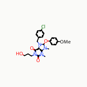 COc1ccc(OC2N(C)c3c(c(=O)n(CCCO)c(=O)n3C)N2Cc2ccc(Cl)cc2)cc1